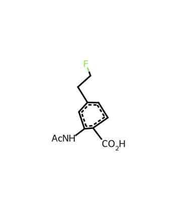 CC(=O)Nc1cc(CCF)ccc1C(=O)O